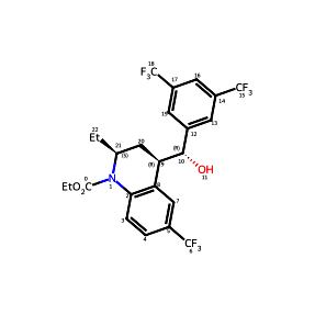 CCOC(=O)N1c2ccc(C(F)(F)F)cc2[C@H]([C@@H](O)c2cc(C(F)(F)F)cc(C(F)(F)F)c2)C[C@@H]1CC